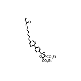 C=CC(=O)OCCCCCCc1cnc(-c2ccc(C3O[C@@H](C(=O)OCC)[C@H](C(=O)OCC)O3)cc2)nc1